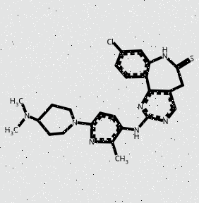 Cc1nc(N2CCC(N(C)C)CC2)ccc1Nc1ncc2c(n1)-c1ccc(Cl)cc1NC(=S)C2